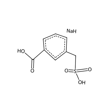 O=C(O)c1cccc(CS(=O)(=O)O)c1.[NaH]